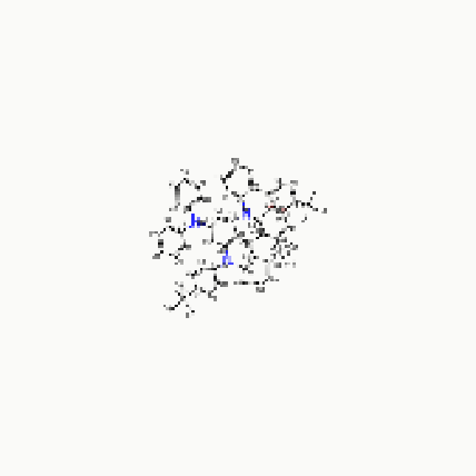 CC(C)(C)c1ccc(-c2ccccc2N2c3cc(N(c4ccccc4)c4ccccc4)cc4c3B3c5c(cccc5[Si](C)(C)c5cccc2c53)N4c2ccc(C(C)(C)C)cc2)cc1